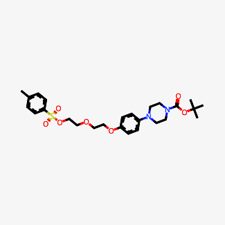 Cc1ccc(S(=O)(=O)OCCOCCOc2ccc(N3CCN(C(=O)OC(C)(C)C)CC3)cc2)cc1